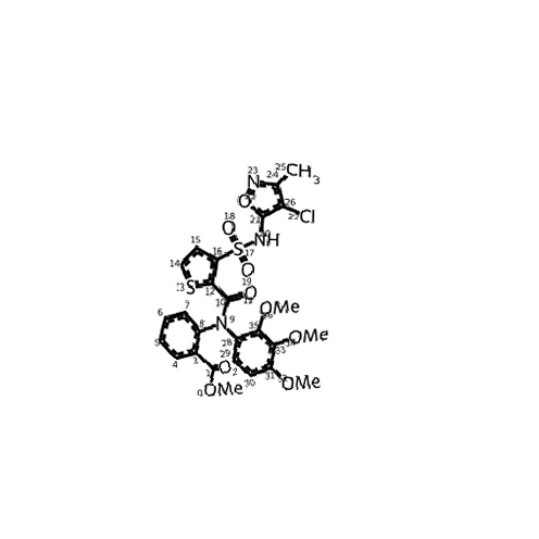 COC(=O)c1ccccc1N(C(=O)c1sccc1S(=O)(=O)Nc1onc(C)c1Cl)c1ccc(OC)c(OC)c1OC